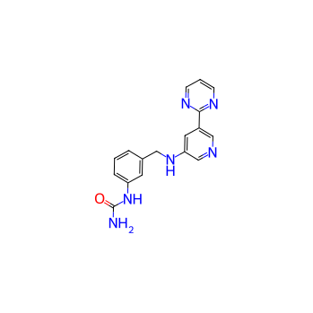 NC(=O)Nc1cccc(CNc2cncc(-c3ncccn3)c2)c1